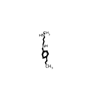 CCCc1ccc(CNCCCCNC)cc1